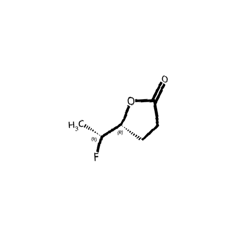 C[C@@H](F)[C@H]1CCC(=O)O1